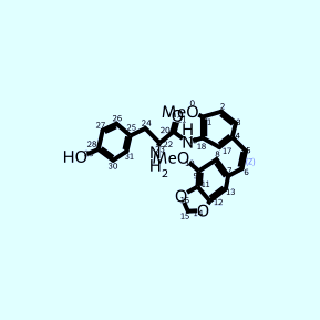 COc1ccc(/C=C\c2cc(OC)c3c(c2)OCO3)cc1NC(=O)C(N)Cc1ccc(O)cc1